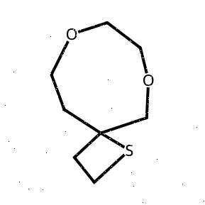 C1COCC2(CCO1)CCS2